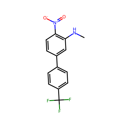 CNc1cc(-c2ccc(C(F)(F)F)cc2)ccc1[N+](=O)[O-]